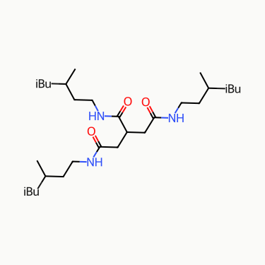 CCC(C)C(C)CCNC(=O)CC(CC(=O)NCCC(C)C(C)CC)C(=O)NCCC(C)C(C)CC